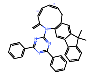 C=C1/C=C\C=C/Cc2cc3c(cc2N1c1nc(-c2ccccc2)nc(-c2ccccc2)n1)-c1ccccc1C3(C)C